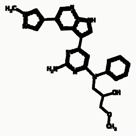 COCC(O)CN(c1ccccc1)c1cc(-c2c[nH]c3ncc(-c4cnn(C)c4)cc23)nc(N)n1